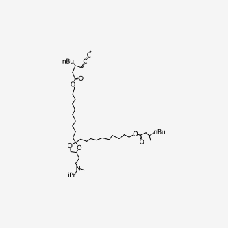 C=C=C=CC(CCCC)CC(=O)OCCCCCCCCCCC1(CCCCCCCCCCOC(=O)CC(C)CCCC)OCC(CCN(C)C(C)C)O1